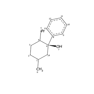 CC1CCC(C(C)C)[C@](O)(c2ccccc2)C1